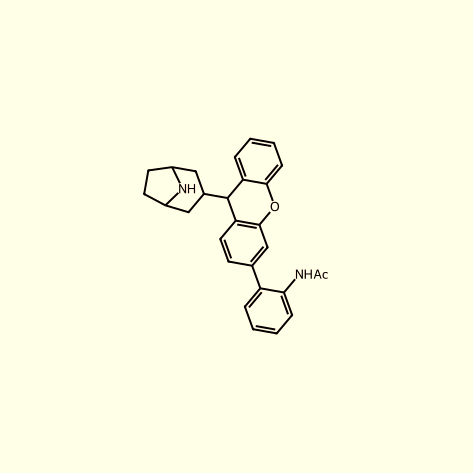 CC(=O)Nc1ccccc1-c1ccc2c(c1)Oc1ccccc1C2C1CC2CCC(C1)N2